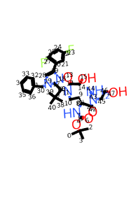 CC(C)(C)OC(=O)N[C@@H](CCN(C(=O)CO)[C@@H](c1nc(-c2cc(F)ccc2F)cn1Cc1ccccc1)C(C)(C)C)C(=O)N(N)CCO